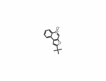 CC(C)(C)c1cc2c(c[n+]([O-])c3ccccc23)o1